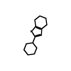 C1=C(C2CCCCC2)[N]C2=C1CCCC2